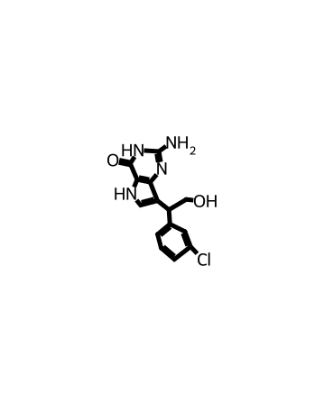 Nc1nc2c(C(CO)c3cccc(Cl)c3)c[nH]c2c(=O)[nH]1